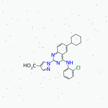 O=C(O)c1cnn(-c2nc(Nc3ccccc3Cl)c3cc(C4CCCCC4)ccc3n2)c1